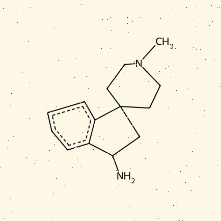 CN1CCC2(CC1)CC(N)c1ccccc12